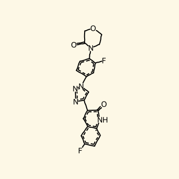 O=C1COCCN1c1ccc(-n2cc(-c3cc4cc(F)ccc4[nH]c3=O)nn2)cc1F